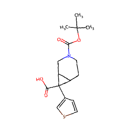 CC(C)(C)OC(=O)N1CCC2C(C1)C2(C(=O)O)c1ccsc1